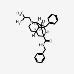 CC(C)CN1CC[C@H]2CC3(C(=O)NCc4ccccc4)NC[C@@H]2[C@@H]1[C@H]3Cc1ccccc1